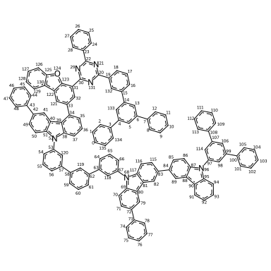 c1ccc(-c2cc(-c3ccccc3)cc(-c3cccc(-c4nc(-c5ccccc5)nc(-c5cc(-c6cccc7c6c6cc(-c8ccccc8)ccc6n7-c6cccc(-c7cccc(-c8cccc(-n9c%10ccc(-c%11ccccc%11)cc%10c%10cc(-c%11ccc%12c(c%11)c%11ccccc%11n%12-c%11cc(-c%12ccccc%12)cc(-c%12ccccc%12)c%11)ccc%109)c8)c7)c6)cc6c5oc5ccccc56)n4)c3)c2)cc1